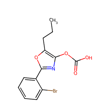 CCCc1oc(-c2ccccc2Br)nc1OC(=O)O